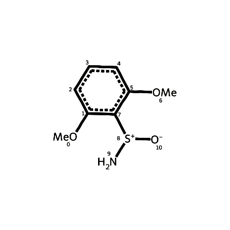 COc1cccc(OC)c1[S+](N)[O-]